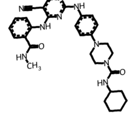 CNC(=O)c1ccccc1Nc1nc(Nc2ccc(N3CCN(C(=O)NC4CCCCC4)CC3)cc2)ncc1C#N